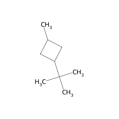 CC1CC(C(C)(C)C)C1